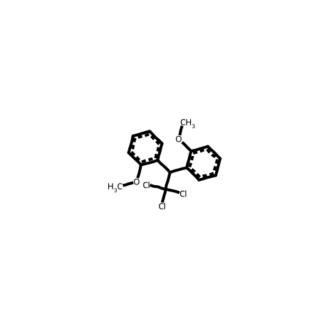 COc1ccccc1C(c1ccccc1OC)C(Cl)(Cl)Cl